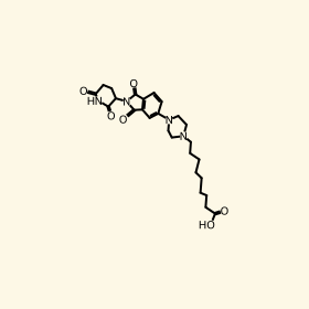 O=C(O)CCCCCCCCN1CCN(c2ccc3c(c2)C(=O)N(C2CCC(=O)NC2=O)C3=O)CC1